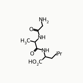 CC(C)CC(NC(=O)C(C)NC(=O)CN)C(=O)O